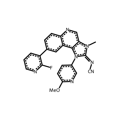 COc1ccc(-n2c(=NC#N)n(C)c3cnc4ccc(-c5cccnc5F)cc4c32)cn1